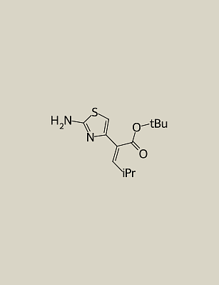 CC(C)C=C(C(=O)OC(C)(C)C)c1csc(N)n1